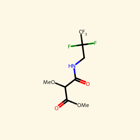 COC(=O)C(OC)C(=O)NCC(F)(F)C(F)(F)F